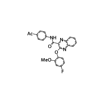 COc1cc(F)ccc1Oc1nc2ccccc2nc1C(=O)Nc1ccc(C(C)=O)cc1